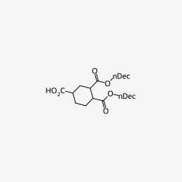 CCCCCCCCCCOC(=O)C1CCC(C(=O)O)CC1C(=O)OCCCCCCCCCC